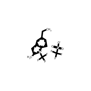 CCc1ccc2c(c1)cc(C)[s+]2C(F)(F)F.O=S(=O)([O-])C(F)(F)F